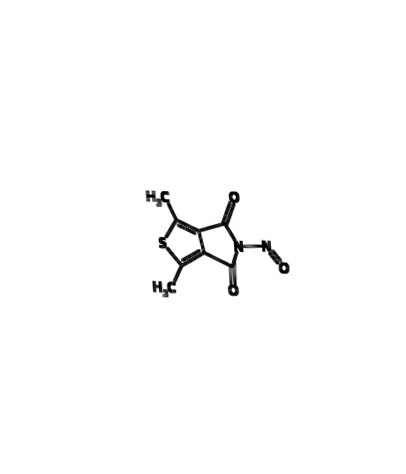 Cc1sc(C)c2c1C(=O)N(N=O)C2=O